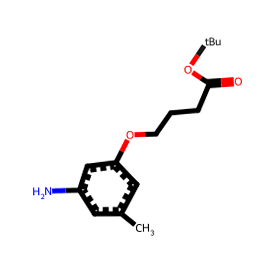 Cc1cc(N)cc(OCCCC(=O)OC(C)(C)C)c1